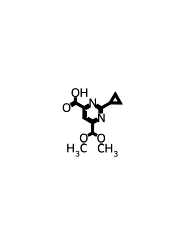 COC(OC)c1cc(C(=O)O)nc(C2CC2)n1